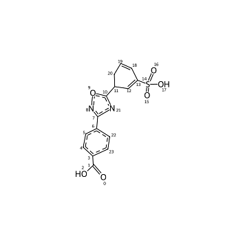 O=C(O)c1ccc(-c2noc(C3C=C(S(=O)(=O)O)C=CC3)n2)cc1